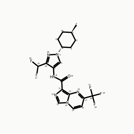 C[C@H]1CC[C@H](n2cc(NC(=O)c3ncn4ccc(C(F)(F)F)nc34)c(C(F)F)n2)CC1